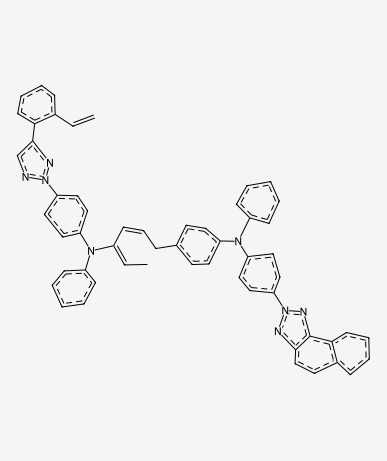 C=Cc1ccccc1-c1cnn(-c2ccc(N(C(/C=C\Cc3ccc(N(c4ccccc4)c4ccc(-n5nc6ccc7ccccc7c6n5)cc4)cc3)=C/C)c3ccccc3)cc2)n1